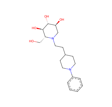 OC[C@@H]1[C@@H](O)[C@H](O)[C@@H](O)CN1CCC1CCN(c2ccccc2)CC1